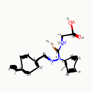 C=Cc1ccc(/C=N/N(C(=S)NCC(=O)O)c2ccccc2)cc1